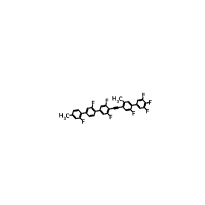 Cc1ccc(-c2ccc(-c3cc(F)c(C#Cc4cc(F)c(-c5cc(F)c(F)c(F)c5)cc4C)c(F)c3)c(F)c2)c(F)c1